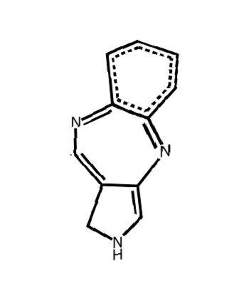 [C]1=C2CNC=C2N=c2ccccc2=N1